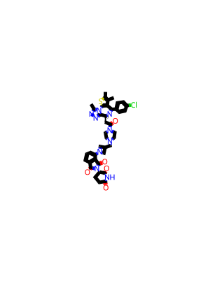 Cc1sc2c(c1C)C(c1ccc(Cl)cc1)=N[C@@H](CC(=O)N1CCN(CC3CN(c4cccc5c4C(=O)N(C4CCC(=O)NC4=O)C5=O)C3)CC1)c1nnc(C)n1-2